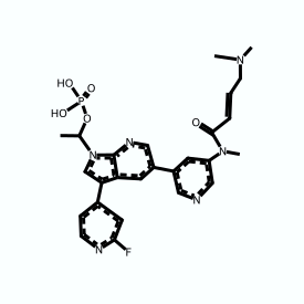 CC(OP(=O)(O)O)n1cc(-c2ccnc(F)c2)c2cc(-c3cncc(N(C)C(=O)/C=C/CN(C)C)c3)cnc21